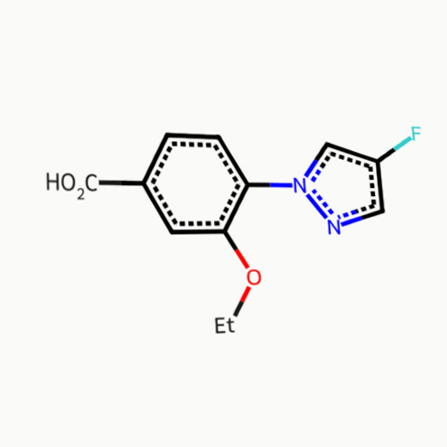 CCOc1cc(C(=O)O)ccc1-n1cc(F)cn1